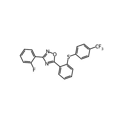 Fc1ccccc1-c1noc(-c2ccccc2Sc2ccc(C(F)(F)F)cc2)n1